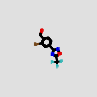 O=Cc1ccc(-c2noc(C(F)(F)F)n2)cc1Br